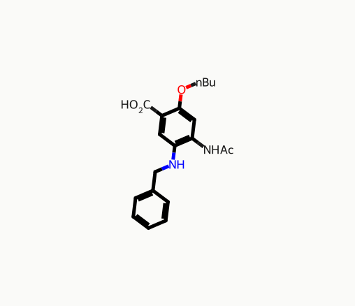 CCCCOc1cc(NC(C)=O)c(NCc2ccccc2)cc1C(=O)O